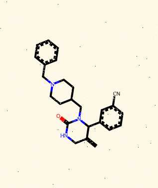 C=C1CNC(=O)N(CC2CCN(Cc3ccccc3)CC2)C1c1cccc(C#N)c1